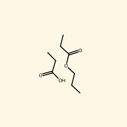 CCC(=O)O.CCCOC(=O)CC